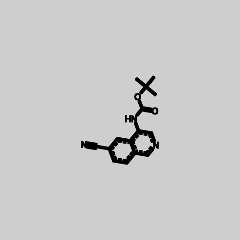 CC(C)(C)OC(=O)Nc1cncc2ccc(C#N)cc12